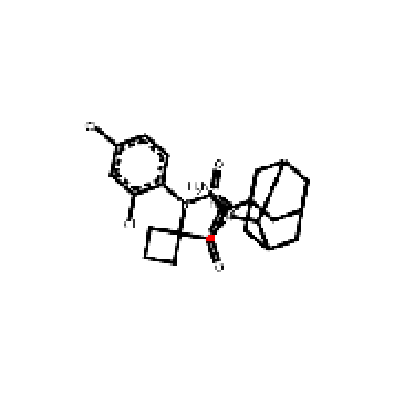 NC(=O)C12CC3CC(C1)C(NC(=O)C1(N(c4ccc(Cl)cc4Cl)[SH](=O)=O)CCC1)C(C3)C2